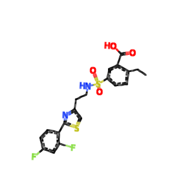 CCc1ccc(S(=O)(=O)NCCc2csc(-c3ccc(F)cc3F)n2)cc1C(=O)O